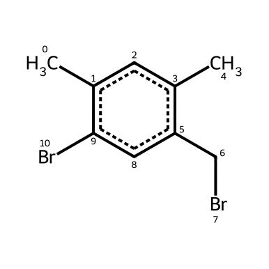 Cc1cc(C)c(CBr)cc1Br